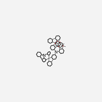 CC1(C)c2ccccc2-c2c(N(c3ccc4c(c3)C3(c5ccccc5-4)c4ccccc4-n4c5ccccc5c5cccc3c54)c3cccc4c3-c3ccccc3C43c4ccccc4-c4ccccc43)cccc21